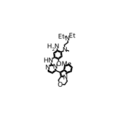 CCN(CC)CCN(C)c1cc(OC)c(Nc2nccc(-c3c4n(c5ccccc35)CCOC4)n2)cc1N